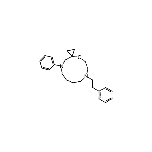 c1ccc(CCN2CCCCN(c3ccccc3)CC3(CC3)OCC2)cc1